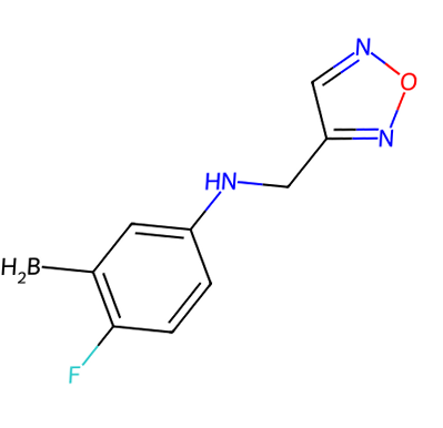 Bc1cc(NCc2cnon2)ccc1F